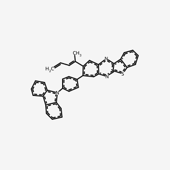 C=C/C=C(\C)c1cc2nc3c(nc2cc1-c1ccc(-n2c4ccccc4c4ccccc42)cc1)sc1ccccc13